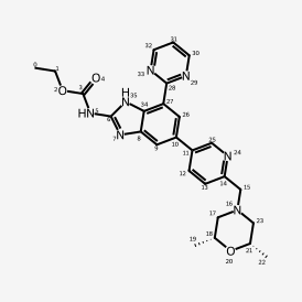 CCOC(=O)Nc1nc2cc(-c3ccc(CN4C[C@@H](C)O[C@@H](C)C4)nc3)cc(-c3ncccn3)c2[nH]1